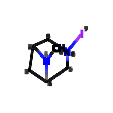 CN1C2CC1CN(I)C2